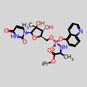 CC(C)OC(=O)C(C)NP(=S)(OC[C@H]1O[C@@H](n2ccc(=O)[nH]c2=O)[C@](C)(O)[C@@H]1O)Oc1cccc2ncccc12